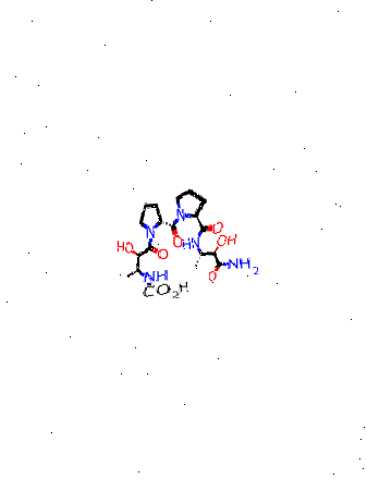 C[C@H](NC(=O)[C@@H]1CCCN1C(=O)[C@H]1CCCN1C(=O)[C@H](O)[C@H](C)NC(=O)O)[C@@H](O)C(N)=O